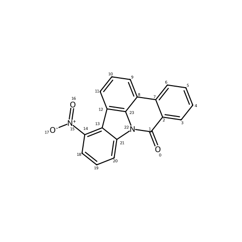 O=c1c2ccccc2c2cccc3c4c([N+](=O)[O-])cccc4n1c23